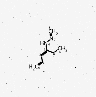 C=C/C=C(\CC)NN=C